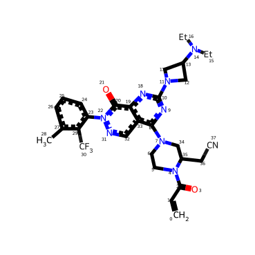 C=CC(=O)N1CCN(c2nc(N3CC(N(CC)CC)C3)nc3c(=O)n(-c4cccc(C)c4C(F)(F)F)ncc23)CC1CC#N